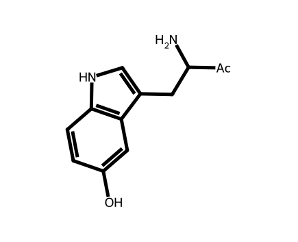 CC(=O)C(N)Cc1c[nH]c2ccc(O)cc12